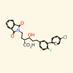 O=C(O)[C@@H](CCN1C(=O)c2ccccc2C1=O)[C@H](O)CCc1ccc(F)c(-c2ccc(Cl)cc2)c1